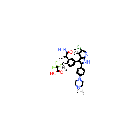 C=C(C(N)=O)c1cc(-c2c(-c3ccc(N4CCN(C)CC4)cc3)[nH]c3ncc(Cl)c(C)c23)ccc1C.O=C(O)C(F)(F)F